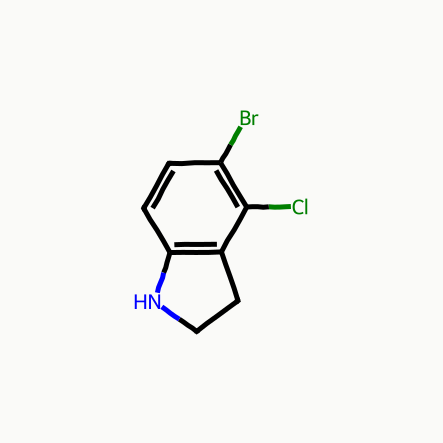 Clc1c(Br)ccc2c1CCN2